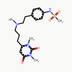 CCCN(CCCc1cc(=O)n(C)c(=O)n1C)CCc1ccc(NS(C)(=O)=O)cc1